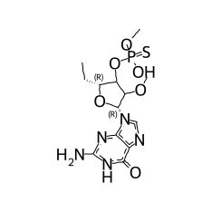 CC[C@H]1O[C@@H](n2cnc3c(=O)[nH]c(N)nc32)C(OC)C1OP(O)(=S)OC